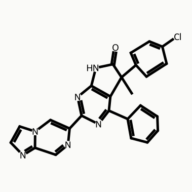 CC1(c2ccc(Cl)cc2)C(=O)Nc2nc(-c3cn4ccnc4cn3)nc(-c3ccccc3)c21